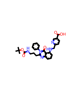 CC(C)(C)OC(=O)NCCCc1nc2cccc(NCc3ccc(C(=O)O)cn3)c2c(=O)n1-c1ccccc1